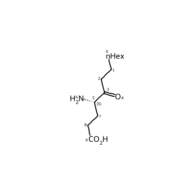 CCCCCCCCC(=O)[C@@H](N)CCC(=O)O